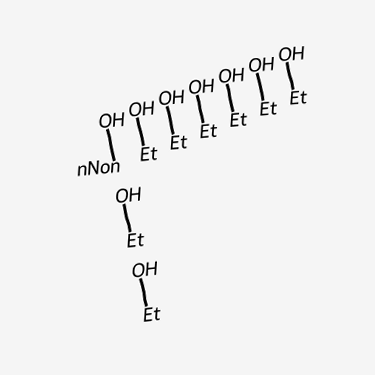 CCCCCCCCCO.CCO.CCO.CCO.CCO.CCO.CCO.CCO.CCO